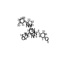 COc1ccc(Cn2cnc3c(N4CCOCC4)cc(N4CCCC(c5cccc(C)c5)=N4)nc32)cc1